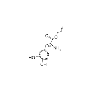 C=CCOC(=O)[C@@H](N)Cc1ccc(O)c(O)c1